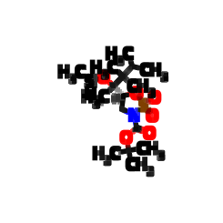 C[SiH2]OC(C)([C@H]1CN(C(=O)OC(C)(C)C)S(=O)(=O)O1)C(C)(C)C(C)C